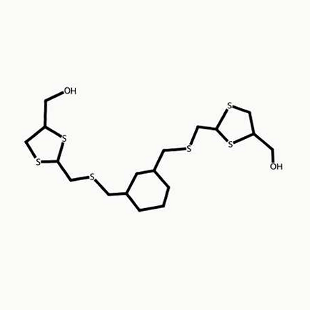 OCC1CSC(CSCC2CCCC(CSCC3SCC(CO)S3)C2)S1